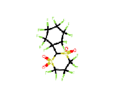 O=S1(=O)C(C2(F)C(F)(F)C(F)(F)C(F)(F)C(F)(F)C2(F)F)S(=O)(=O)C(F)(F)C(F)(F)C1(F)F